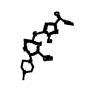 CCn1nc(C(=O)NC)cc1Sc1cnc(N2CCN(C)CC2)c(OC)n1